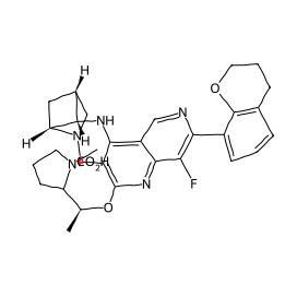 C[C@H](Oc1nc2c(F)c(-c3cccc4c3OCCC4)ncc2c(N[C@H]2[C@@H]3C[C@H]2N(C(=O)O)C3)c1I)C1CCCN1C